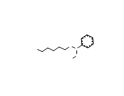 CCCCCCCCCCCCCCON([SiH2]C)c1ccccc1